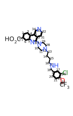 O=C(O)c1ccc2c(c1)nc(N1CCN(CCCCNCc3ccc(OC(F)(F)F)c(Cl)c3)CC1)c1ccncc12